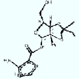 CC1(C)O[C@@H]2[C@H](O1)[C@@H](NC(=O)c1nc[nH]c1N)O[C@H]2CO